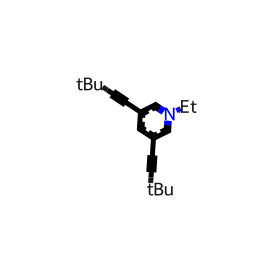 CC[n+]1cc(C#CC(C)(C)C)cc(C#CC(C)(C)C)c1